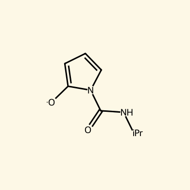 CC(C)NC(=O)n1cccc1[O]